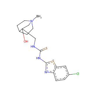 B[N+]12CCC(CC1)C(O)(CNC(=S)Nc1nc3ccc(Cl)cc3s1)C2